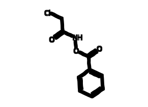 O=C(CCl)NOC(=O)c1ccccc1